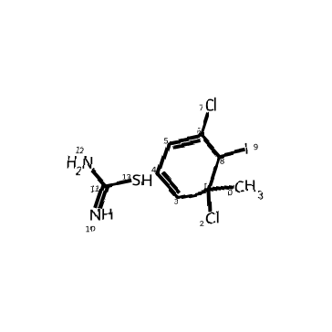 CC1(Cl)C=CC=C(Cl)C1I.N=C(N)S